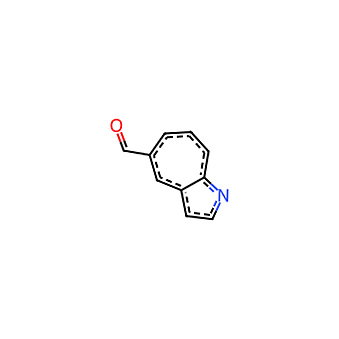 O=Cc1cccc2nccc-2c1